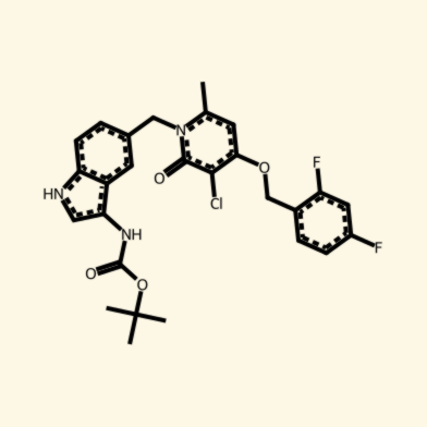 Cc1cc(OCc2ccc(F)cc2F)c(Cl)c(=O)n1Cc1ccc2[nH]cc(NC(=O)OC(C)(C)C)c2c1